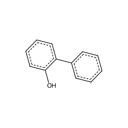 Oc1ccccc1-c1c[c]ccc1